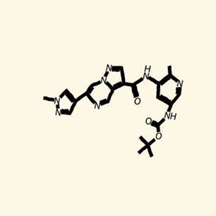 Cc1ncc(NC(=O)OC(C)(C)C)cc1NC(=O)c1cnn2cc(-c3cnn(C)c3)ncc12